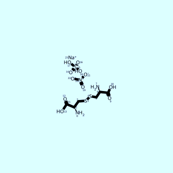 N[C@@H](CSSC[C@H](N)C(=O)O)C(=O)O.O=S(=O)(O)O.O=[N+]([O-])[O-].[Na+]